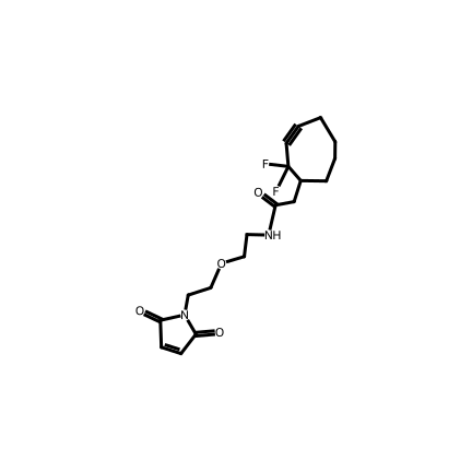 O=C(CC1CCCCC#CC1(F)F)NCCOCCN1C(=O)C=CC1=O